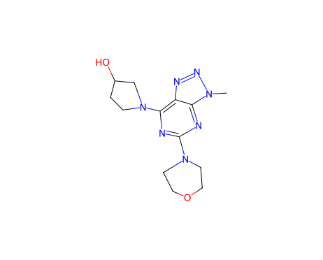 Cn1nnc2c(N3CCC(O)C3)nc(N3CCOCC3)nc21